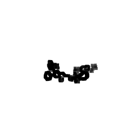 O=C1CC(c2ccccc2)=C(N2CCON2)C=C1CCCOc1nc2cccc(C(=O)O)c2[nH]1